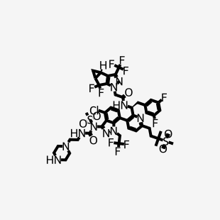 CC(C)(CCc1ccc(-c2ccc(Cl)c3c(N(C(=O)NCCN4CCNCC4)S(C)(=O)=O)nn(CC(F)(F)F)c23)c([C@H](Cc2cc(F)cc(F)c2)NC(=O)Cn2nc(C(F)(F)F)c3c2C(F)(F)C2C[C@H]32)n1)S(C)(=O)=O